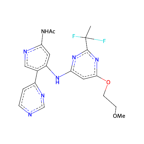 COCCOc1cc(Nc2cc(NC(C)=O)ncc2-c2ccncn2)nc(C(C)(F)F)n1